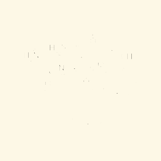 CCCC(=O)C1(C(=O)OC(c2ccccc2)c2ccccc2)CS[C@@H]2C(N)C(=O)N2C1